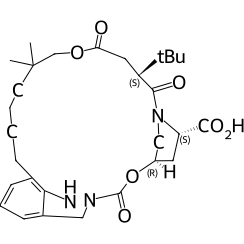 CC1(C)CCCCc2cccc3c2NN(C3)C(=O)O[C@@H]2C[C@@H](C(=O)O)N(C2)C(=O)[C@H](C(C)(C)C)CC(=O)OC1